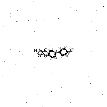 NS(=O)(=O)Oc1ccc(-c2ccc(Cl)cc2)cc1